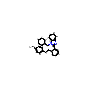 N#Cc1ccc(CCc2ccccc2-c2nc3ccccc3n2CC2CCCCC2)cc1